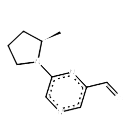 C[C@@H]1CCCN1c1cncc(C=O)n1